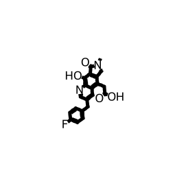 CN1Cc2c(c(O)c3ncc(Cc4ccc(F)cc4)cc3c2CC(=O)O)C1=O